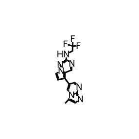 Cc1cnc2ncc(-c3ccn4nc(NCC(F)(F)F)ncc34)cn12